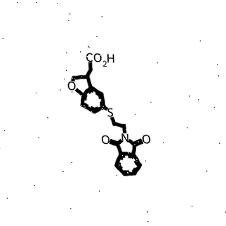 O=C(O)CC1COc2ccc(SCCN3C(=O)c4ccccc4C3=O)cc21